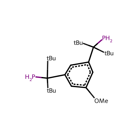 COc1cc(C(P)(C(C)(C)C)C(C)(C)C)cc(C(P)(C(C)(C)C)C(C)(C)C)c1